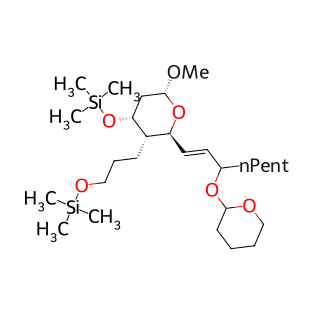 CCCCCC(C=C[C@@H]1O[C@@H](OC)C[C@@H](O[Si](C)(C)C)[C@H]1CCCO[Si](C)(C)C)OC1CCCCO1